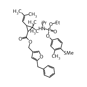 CC(C)=CC1C(C(=O)OCc2coc(Cc3ccccc3)c2)C1(C)C.CCOP(=O)(NC(C)C)Oc1ccc(SC)c(C)c1